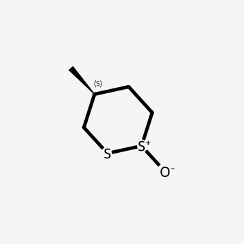 C[C@H]1CC[S+]([O-])SC1